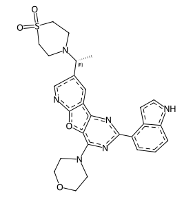 C[C@H](c1cnc2oc3c(N4CCOCC4)nc(-c4cccc5[nH]ccc45)nc3c2c1)N1CCS(=O)(=O)CC1